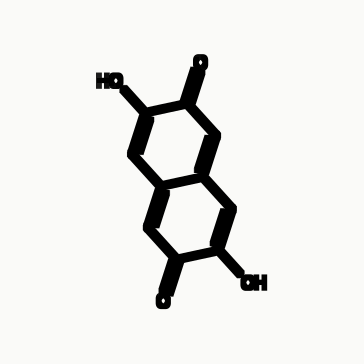 O=C1C=C2C=C(O)C(=O)C=C2C=C1O